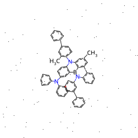 Cc1cc2c3c(c1)N(c1ccc(-c4ccccc4)cc1C)c1ccc(N(c4ccccc4)c4ccccc4)cc1B3N(c1cccc(-c3ccccc3)c1)c1ccccc1-2